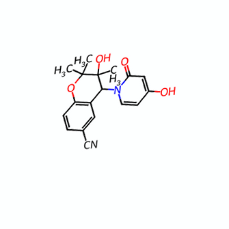 CC1(C)Oc2ccc(C#N)cc2C(n2ccc(O)cc2=O)C1(C)O